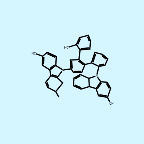 CC1C=Cc2c(n(-c3ccc(-c4ccccc4N4c5ccc(C#N)cc5C5C=CC=CC54)c(-c4ccccc4C#N)c3)c3ccc(C#N)cc23)C1